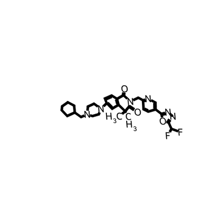 CC1(C)C(=O)N(Cc2ccc(-c3nnc(C(F)F)o3)cn2)C(=O)c2ccc(N3CCN(CC4CCCCC4)CC3)cc21